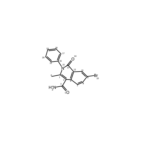 Cc1c(C(N)=O)c2ccc(Br)cc2c(=O)n1-c1ccccc1